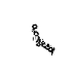 N[C@@H](CC(=O)N1CCSC1C(=O)NCc1ccc(Oc2[c]cccc2)cc1)Cc1cc(F)c(F)cc1F